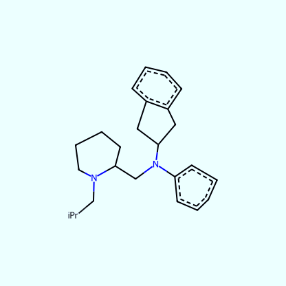 CC(C)CN1CCCCC1CN(c1ccccc1)C1Cc2ccccc2C1